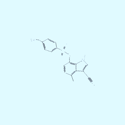 Cc1ccc(NS(=O)(=O)c2ccc(Br)cc2)c2[nH]cc(C#N)c12